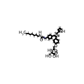 CCCCCCCCNC(=O)/C=C/c1ccc(-c2sc(-c3ccc[nH]3)nc2-c2ccc(OCC(=O)N[C@@H](CO)C(=O)O)cc2)cc1